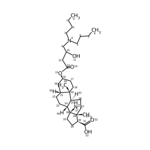 CCCCN(CCCC)CC(O)CC(=O)O[C@H]1CC[C@@]2(C)[C@H](CC[C@@H]3[C@@H]2CC[C@]2(C)[C@@H](C(=O)O)CC[C@]32N)C1